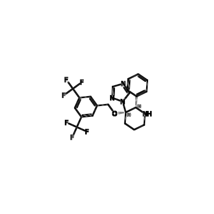 FC(F)(F)c1cc(CO[C@@]2(n3cncn3)CCCN[C@H]2c2ccccc2)cc(C(F)(F)F)c1